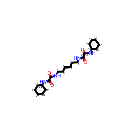 O=C(NCCCCCCNC(=O)C(=O)NC1CCCCC1)C(=O)NC1CCCCC1